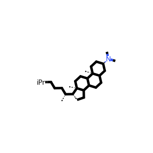 CC(C)CCC[C@@H](C)[C@H]1CCC2C3CCC4C[C@@H](N(C)C)CC[C@]4(C)C3CC[C@@]21C